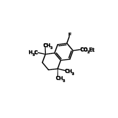 CCOC(=O)c1cc2c(cc1F)C(C)(C)CCC2(C)C